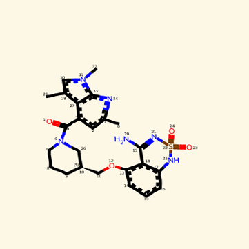 Cc1cc(C(=O)N2CCC[C@H](COc3cccc4c3C(N)=NS(=O)(=O)N4)C2)c2c(C)cn(C)c2n1